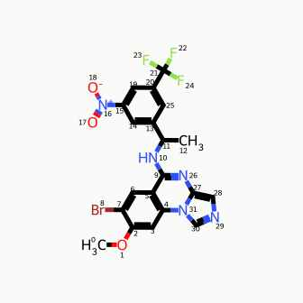 COc1cc2c(cc1Br)c(NC(C)c1cc([N+](=O)[O-])cc(C(F)(F)F)c1)nc1cncn12